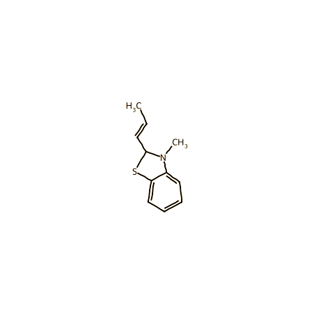 CC=CC1Sc2ccccc2N1C